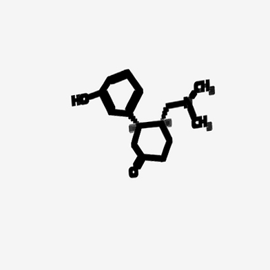 CN(C)C[C@@H]1CCC(=O)C[C@@H]1c1cccc(O)c1